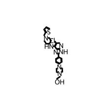 OCCN1CCN(c2ccc(-c3nc4c(NC5CCN(Cc6cccs6)CC5)c(Cl)cnc4[nH]3)cc2)CC1